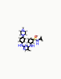 Cc1cnc(Nc2ccc(N3CCN(C)CC3)cc2)nc1Nc1cccc([S+]([O-])NC2CC2)c1